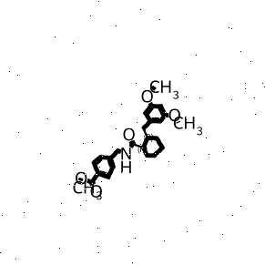 COC(=O)c1ccc(CNC(=O)[C@@H]2CCCC[C@@H]2Cc2cc(OC)cc(OC)c2)cc1